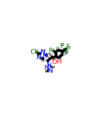 OC(Cn1cncn1)(Cn1cnc(Cl)n1)c1ccc(C(F)(F)F)cc1F